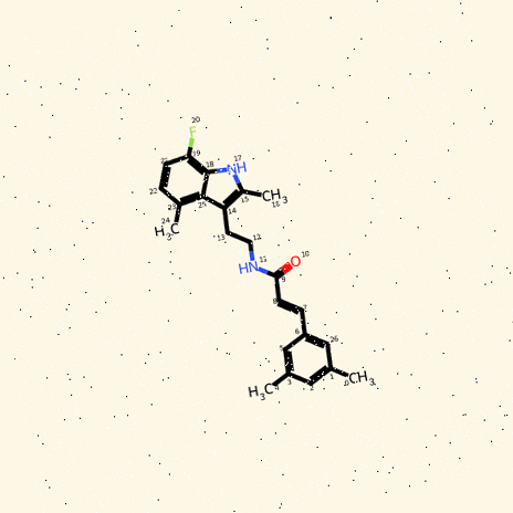 Cc1cc(C)cc(/C=C/C(=O)NCCc2c(C)[nH]c3c(F)ccc(C)c23)c1